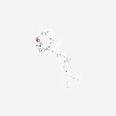 C=C1C[C@@H]2CC[C@]34CC5OC6(O3)C3C(O[C@H]7CC[C@H](CC(=O)C[C@@H]8[C@@H](OC)[C@@H](C[C@H](O)CNC(=O)CNC(=O)[C@H](Cc9ccccc9)NC(=O)CNC(=O)CNC(=O)CN(CCOCCOCC)CCOCCOCC)O[C@H]8C[C@H]8O[C@@H](CC[C@@H]1O2)C[C@@H](C)C8=C)O[C@@H]7[C@@H]3O4)[C@H]56